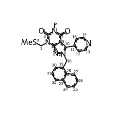 CSCn1c(=O)n(C)c(=O)c2c(-c3ccncc3)n(Cc3cccc4ccccc34)nc21